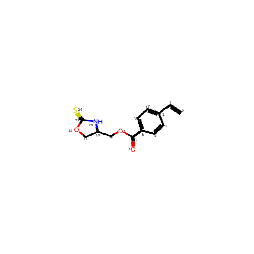 C=Cc1ccc(C(=O)OCC2COC(=S)N2)cc1